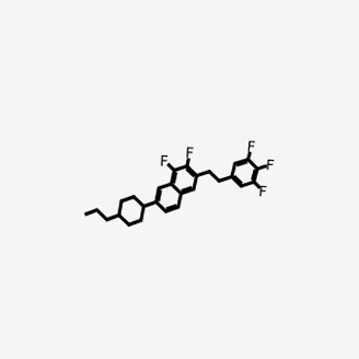 CCCC1CCC(c2ccc3cc(CCc4cc(F)c(F)c(F)c4)c(F)c(F)c3c2)CC1